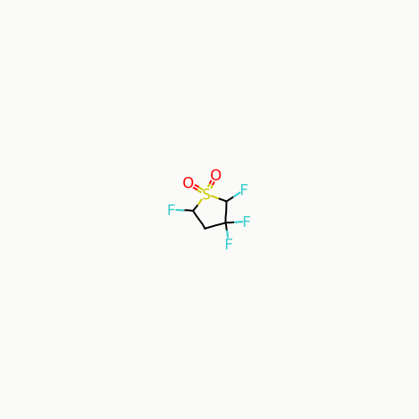 O=S1(=O)C(F)CC(F)(F)C1F